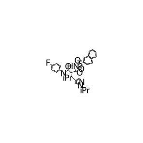 CC(C)N(C(=O)C(Cc1cnn(C(C)C)c1)C(=O)NS(=O)(=O)c1ccc2ccccc2c1)c1ccc(F)cc1